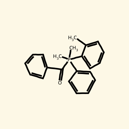 Cc1ccccc1P(C)(C)(C(=O)c1ccccc1)c1ccccc1